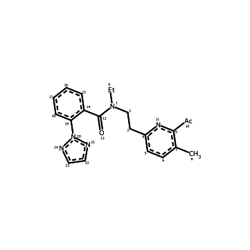 CCN(CCc1ccc(C)c(C(C)=O)n1)C(=O)c1ccccc1-n1nccn1